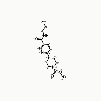 CC(C)CCNC(=O)c1ccc(N2CCN(C(=O)OC(C)(C)C)CC2)nn1